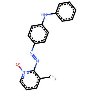 Cc1ccc[n+]([O-])c1N=Nc1ccc(Nc2ccccc2)cc1